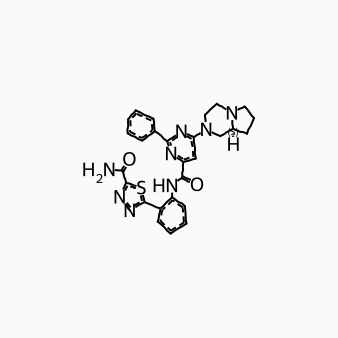 NC(=O)c1nnc(-c2ccccc2NC(=O)c2cc(N3CCN4CCC[C@H]4C3)nc(-c3ccccc3)n2)s1